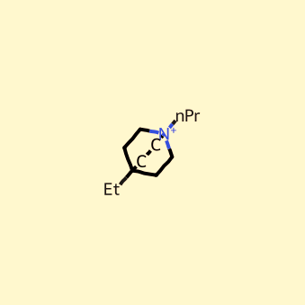 CCC[N+]12CCC(CC)(CC1)CC2